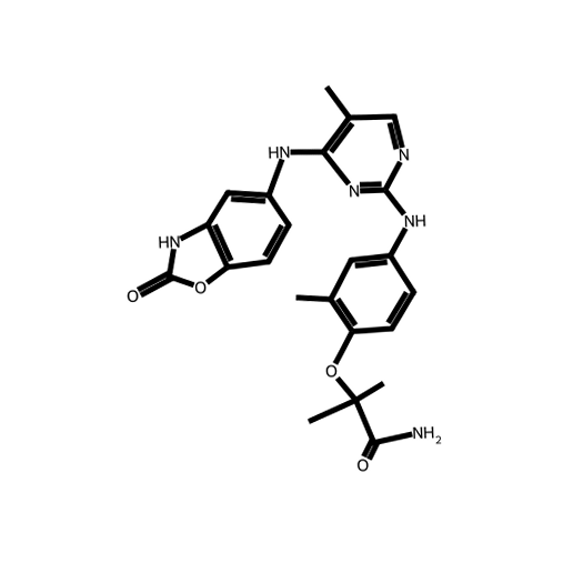 Cc1cc(Nc2ncc(C)c(Nc3ccc4oc(=O)[nH]c4c3)n2)ccc1OC(C)(C)C(N)=O